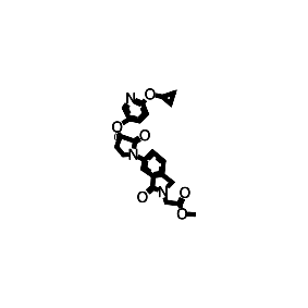 COC(=O)CN1Cc2ccc(N3CC[C@@H](Oc4ccc(OC5CC5)nc4)C3=O)cc2C1=O